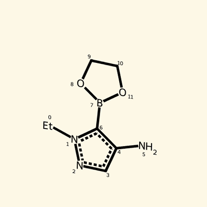 CCn1ncc(N)c1B1OCCO1